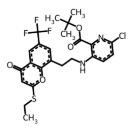 CCSc1cc(=O)c2cc(C(F)(F)F)cc(CCNc3ccc(Cl)nc3C(=O)OC(C)(C)C)c2o1